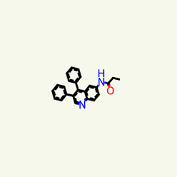 CCC(=O)Nc1ccc2ncc(-c3ccccc3)c(-c3ccccc3)c2c1